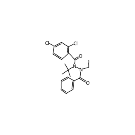 CCN(C(=O)c1ccccc1)N(C(=O)c1ccc(Cl)cc1Cl)C(C)(C)C